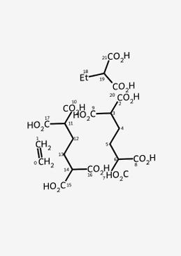 C=C.O=C(O)C(CCC(C(=O)O)C(=O)O)C(=O)O.O=C(O)C(CCC(C(=O)O)C(=O)O)C(=O)O.[CH2]CC(C(=O)O)C(=O)O